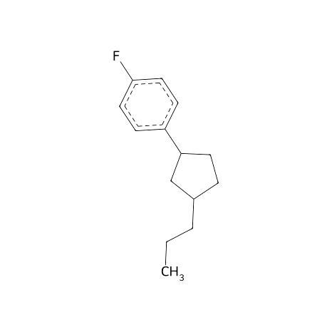 CCCC1CCC(c2ccc(F)cc2)C1